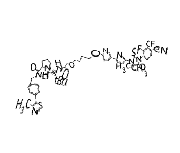 Cc1ncsc1-c1ccc(CNC(=O)C2CCCN2C(=O)[C@@H](NC(=O)COCCCCOc2ccc(-c3ccc(N4C(=S)N(c5ccc(C#N)c(C(F)(F)F)c5F)C(=O)C4(C)C)cn3)cn2)C(C)(C)C)cc1